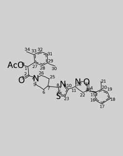 CC(=O)OC(C(=O)N1CCC(c2nc(C3=NO[C@@H](c4ccccc4C)C3)cs2)CC1)c1cc(C)ccc1C